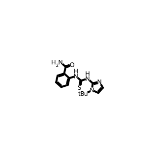 CC(C)(C)n1ccnc1NC(=S)Nc1ccccc1C(N)=O